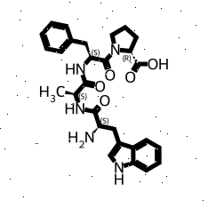 C[C@H](NC(=O)[C@@H](N)Cc1c[nH]c2ccccc12)C(=O)N[C@@H](Cc1ccccc1)C(=O)N1CCC[C@@H]1C(=O)O